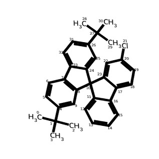 CC(C)(C)c1ccc2c(c1)C1(c3ccccc3-c3ccc(Cl)cc31)c1cc(C(C)(C)C)ccc1-2